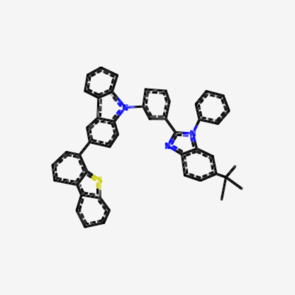 CC(C)(C)c1ccc2nc(-c3cccc(-n4c5ccccc5c5cc(-c6cccc7c6sc6ccccc67)ccc54)c3)n(-c3ccccc3)c2c1